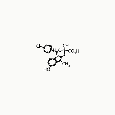 Cc1c(CC(C)(C)C(=O)O)n(Cc2ccc(Cl)cc2)c2ccc(O)cc12